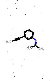 CC#Cc1cccc(N=C(C)C)c1